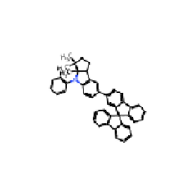 CC1(C)CCC2c3cc(-c4ccc5c(c4)C4(c6ccccc6-c6ccccc64)c4ccccc4-5)ccc3N(c3ccccc3)C21C